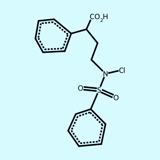 O=C(O)C(CCN(Cl)S(=O)(=O)c1ccccc1)c1ccccc1